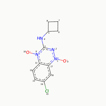 [O-][n+]1nc(NC2CCC2)[n+]([O-])c2ccc(Cl)cc21